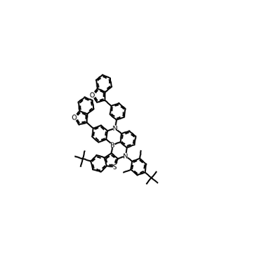 Cc1cc(C(C)(C)C)cc(C)c1N1c2cccc3c2B(c2ccc(-c4coc5ccccc45)cc2N3c2cccc(-c3coc4ccccc34)c2)c2c1sc1ccc(C(C)(C)C)cc21